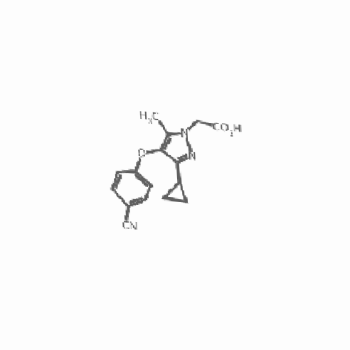 Cc1c(Oc2ccc(C#N)cc2)c(C2CC2)nn1CC(=O)O